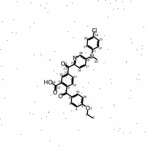 CCOc1ccc(C(=O)c2ccc(C(=O)c3ccc(N(C)c4ccc(Cl)cc4)cn3)cc2C(=O)O)cc1